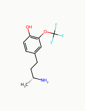 C[C@@H](N)CCc1ccc(O)c(OC(F)(F)F)c1